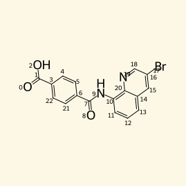 O=C(O)c1ccc(C(=O)Nc2cccc3cc(Br)cnc23)cc1